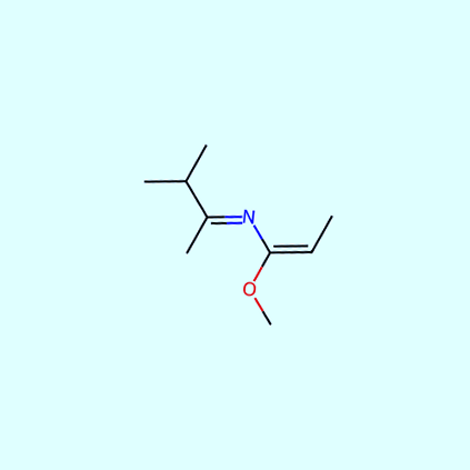 C/C=C(\N=C(/C)C(C)C)OC